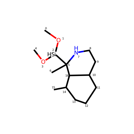 CO[SiH](OC)C1(C)NCCC2CCCC(C)C21